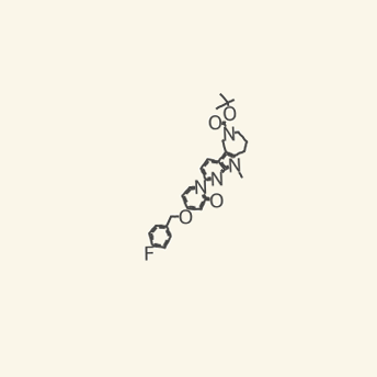 Cn1c2c(c3ccc(-n4ccc(OCc5ccc(F)cc5)cc4=O)nc31)CN(C(=O)OC(C)(C)C)CCC2